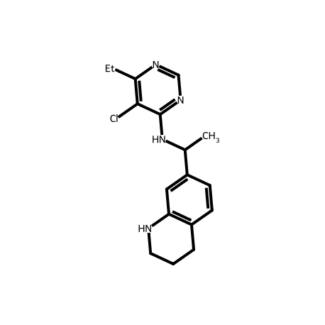 CCc1ncnc(NC(C)c2ccc3c(c2)NCCC3)c1Cl